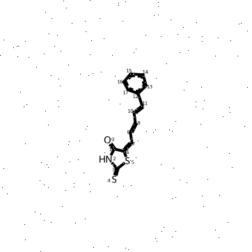 O=C1NC(=S)SC1=CC=CC=Cc1ccccc1